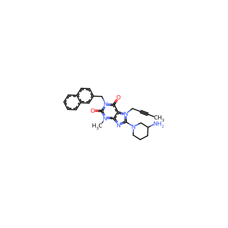 CC#CCn1c(N2CCCC(N)C2)nc2c1c(=O)n(Cc1ccc3ccccc3c1)c(=O)n2C